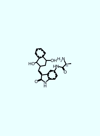 C[C@H](N)C(=O)Nc1ccc2c(c1)C(=CC1CC(O)c3ccccc3C1O)C(=O)N2